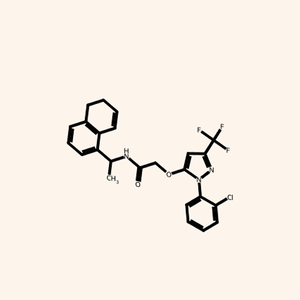 CC(NC(=O)COc1cc(C(F)(F)F)nn1-c1ccccc1Cl)c1cccc2c1C=CCC2